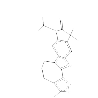 Cc1[nH]nc2c1CCCc1c-2[nH]c2cc3c(cc12)N(C(C)C)C(=O)C3(C)C